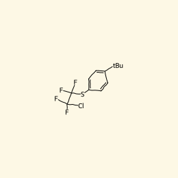 CC(C)(C)c1ccc(SC(F)(F)C(F)(F)Cl)cc1